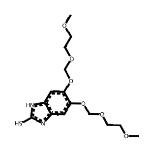 COCCOCOc1cc2nc(S)[nH]c2cc1OCOCCOC